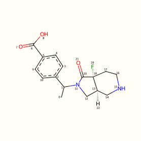 CC(c1ccc(C(=O)O)cc1)N1C[C@@H]2CNCC[C@]2(F)C1=O